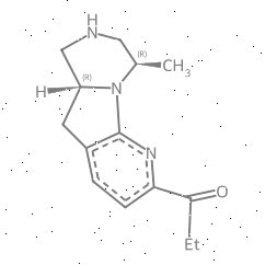 CCC(=O)c1ccc2c(n1)N1[C@@H](CNC[C@H]1C)C2